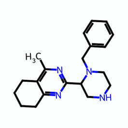 Cc1nc(C2CNCCN2Cc2ccccc2)nc2c1CCCC2